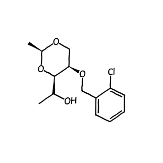 CC(O)[C@H]1O[C@@H](C)OC[C@H]1OCc1ccccc1Cl